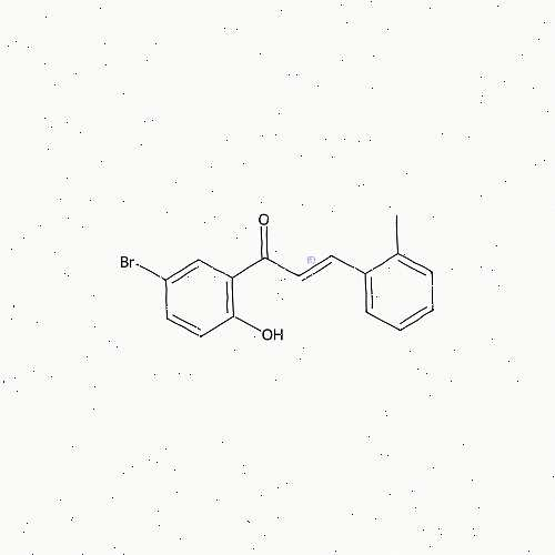 Cc1ccccc1/C=C/C(=O)c1cc(Br)ccc1O